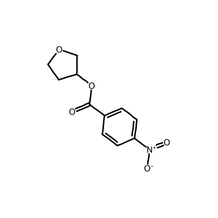 O=C(OC1CCOC1)c1ccc([N+](=O)[O-])cc1